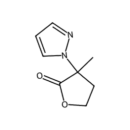 CC1(n2cccn2)CCOC1=O